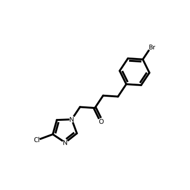 O=C(CCc1ccc(Br)cc1)Cn1cnc(Cl)c1